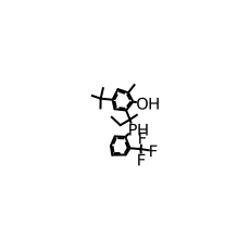 CCC(C)(Pc1ccccc1C(F)(F)F)c1cc(C(C)(C)C)cc(C)c1O